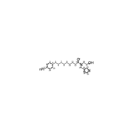 CCCc1ccc(CCCCCCCCC(=O)N(CCO)Cc2cncs2)cc1